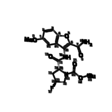 COc1ccc2oc(C(N)=O)c(NC(=O)[C@H]3C[C@H](F)CN3C(=O)OC(C)(C)C)c2c1